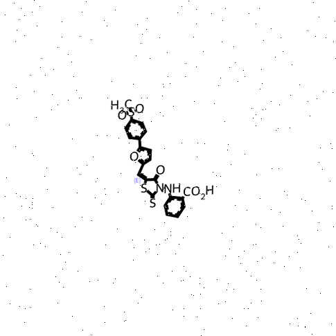 CS(=O)(=O)c1ccc(-c2ccc(/C=C3/SC(=S)N(Nc4ccccc4C(=O)O)C3=O)o2)cc1